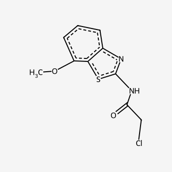 COc1cccc2nc(NC(=O)CCl)sc12